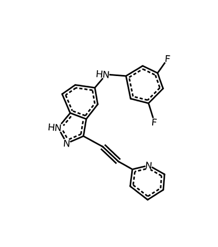 Fc1cc(F)cc(Nc2ccc3[nH]nc(C#Cc4ccccn4)c3c2)c1